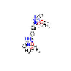 CC(C)(C)OC(=O)N1c2ccccc2C[C@H]1c1nc(-c2ccc(-c3ccc(-c4cnc([C@@H]5Cc6ccccc6N5C(=O)OC(C)(C)C)[nH]4)cc3)cc2)c[nH]1